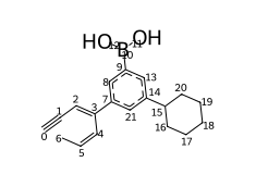 C#C/C=C(\C=C/C)c1cc(B(O)O)cc(C2CCCCC2)c1